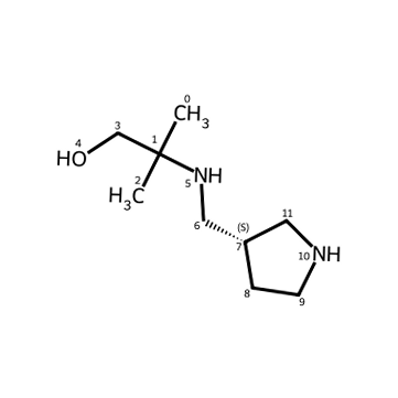 CC(C)(CO)NC[C@H]1CCNC1